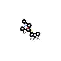 CC1(C)c2ccccc2-c2c1ccc1c2sc2ccc(-c3c(C#N)cccc3-n3c4ccccc4c4ccccc43)cc21